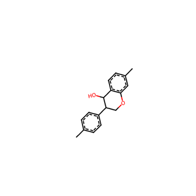 Cc1ccc(C2COc3cc(C)ccc3C2O)cc1